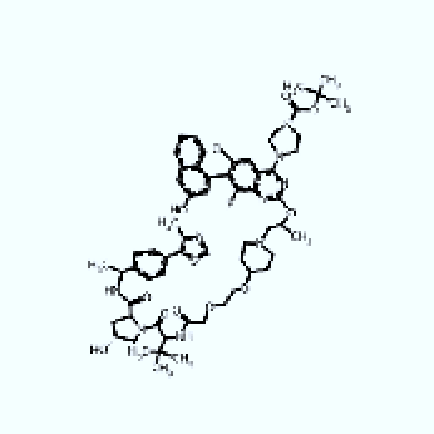 Cc1ncsc1-c1ccc(C(C)NC(=O)[C@@H]2C[C@@H](O)CN2C(=O)C(NC(=O)COCCOC2CCN(CC(C)Oc3nc(N4CCN(C(=O)OC(C)(C)C)CC4)c4cc(Cl)c(-c5cc(O)cc6ccccc56)c(F)c4n3)CC2)C(C)(C)C)cc1